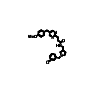 COc1ccc(Cc2cnc(CCC(=O)NCC3CCN(Cc4cccc(Cl)c4)C3)nc2)cc1